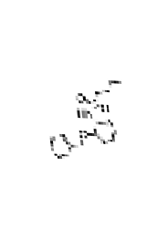 CCCCS(=O)(=O)Nc1ncccc1OCc1ccccc1